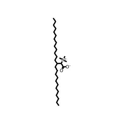 CCCCCCCCCCCCCC(CCCCCCCCCCCC)C(C(=O)[O-])[N+](C)(C)C